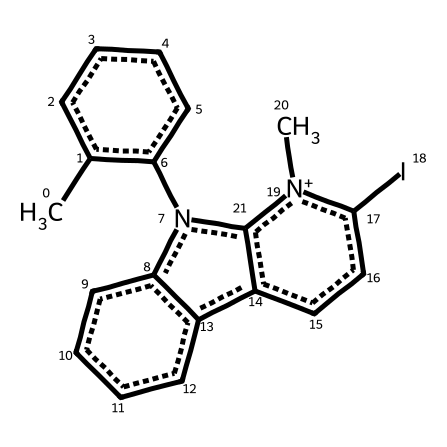 Cc1ccccc1-n1c2ccccc2c2ccc(I)[n+](C)c21